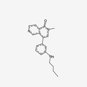 CCCCNc1cccc(-c2cn(C)c(=O)c3ccncc23)c1